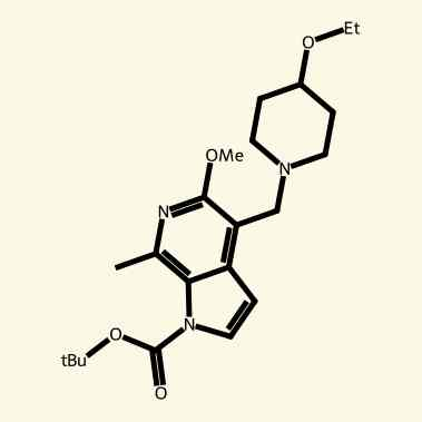 CCOC1CCN(Cc2c(OC)nc(C)c3c2ccn3C(=O)OC(C)(C)C)CC1